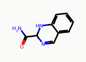 NC(=O)C1N=Cc2ccccc2N1